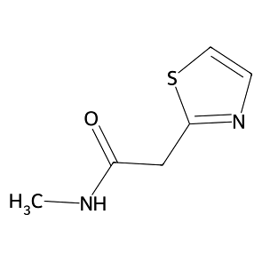 CNC(=O)Cc1nccs1